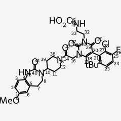 COc1ccc2c(c1)CCN(C1CCN(C(=O)Cn3c(C(C)(C)C)c(-c4cccc(F)c4Cl)c(=O)n(CCNC(=O)O)c3=O)CC1)C(=O)N2